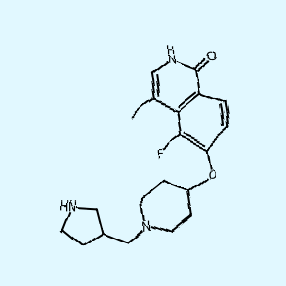 Cc1c[nH]c(=O)c2ccc(OC3CCN(CC4CCNC4)CC3)c(F)c12